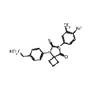 [C-]#[N+]c1ccc(N2C(=O)C3(CCC3)N(c3ccc(CC(=O)O)cc3)C2=S)cc1C(F)(F)F